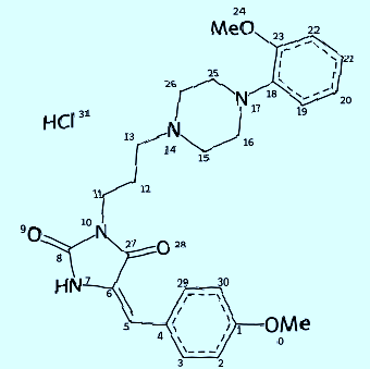 COc1ccc(/C=C2/NC(=O)N(CCCN3CCN(c4ccccc4OC)CC3)C2=O)cc1.Cl